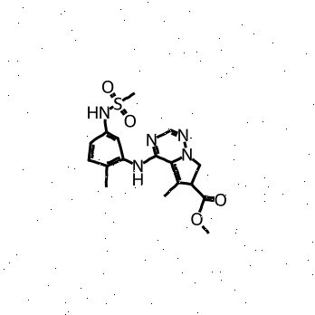 COC(=O)C1CN2N=CN=C(Nc3cc(NS(C)(=O)=O)ccc3C)C2=C1C